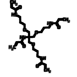 C=CC(=O)NCCCOCC(COCCCNC(=O)C=C)(COCCCNC(=O)C=C)NC(=O)C=C